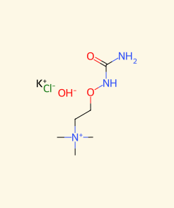 C[N+](C)(C)CCONC(N)=O.[Cl-].[K+].[OH-]